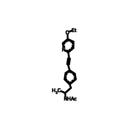 CCOc1ccc(C#Cc2ccc(CC(C)NC(C)=O)cc2)nc1